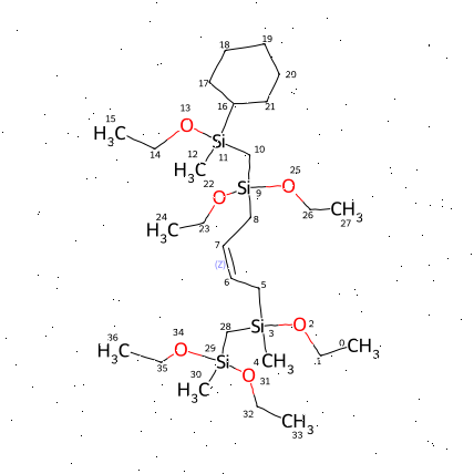 CCO[Si](C)(C/C=C\C[Si](C[Si](C)(OCC)C1CCCCC1)(OCC)OCC)C[Si](C)(OCC)OCC